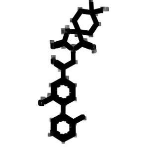 Cc1ccncc1-c1ccc(C(=O)CN2C(=O)NC3(CCC(F)(F)CC3)C2=O)cc1Cl